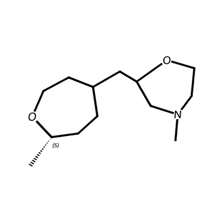 C[C@H]1CCC(CC2CN(C)CCO2)CCO1